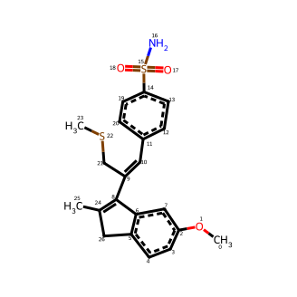 COc1ccc2c(c1)C(C(=Cc1ccc(S(N)(=O)=O)cc1)CSC)=C(C)C2